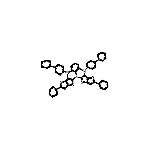 c1ccc(-c2ccc(N3c4cccc5c4B(c4sc6cc(-c7ccccc7)sc6c43)c3sc4cc(-c6ccccc6)sc4c3N5c3ccc(-c4ccccc4)cc3)cc2)cc1